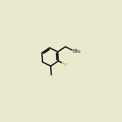 CC1CC=CC(CC(C)(C)C)=C1F